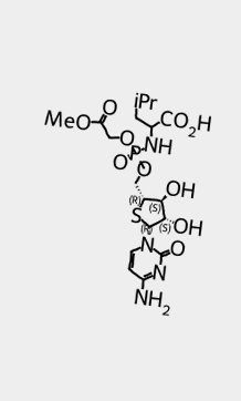 COC(=O)COP(=O)(NC(CC(C)C)C(=O)O)OC[C@H]1S[C@@H](n2ccc(N)nc2=O)[C@@H](O)[C@@H]1O